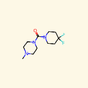 CN1CCN(C(=O)N2CCC(F)(F)CC2)CC1